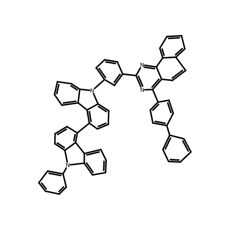 c1ccc(-c2ccc(-c3nc(-c4cccc(-n5c6ccccc6c6c(-c7cccc8c7c7ccccc7n8-c7ccccc7)cccc65)c4)nc4c3ccc3ccccc34)cc2)cc1